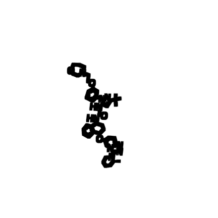 C[C@H]1CCCCN1c1nnc2ccc(O[C@@H]3CC[C@H](NC(=O)Nc4cc(C(C)(C)C)nn4-c4cccc(OCCN5CCCOCC5)c4)c4ccccc43)cn12